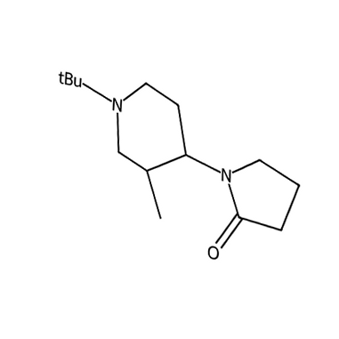 CC1CN(C(C)(C)C)CCC1N1CCCC1=O